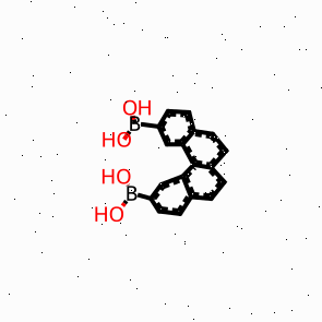 OB(O)c1ccc2ccc3ccc4ccc(B(O)O)cc4c3c2c1